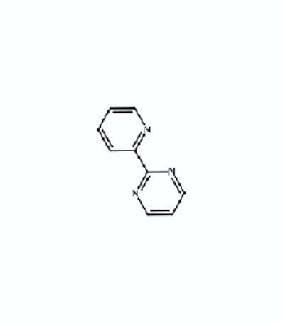 [c]1cccnc1-c1ncccn1